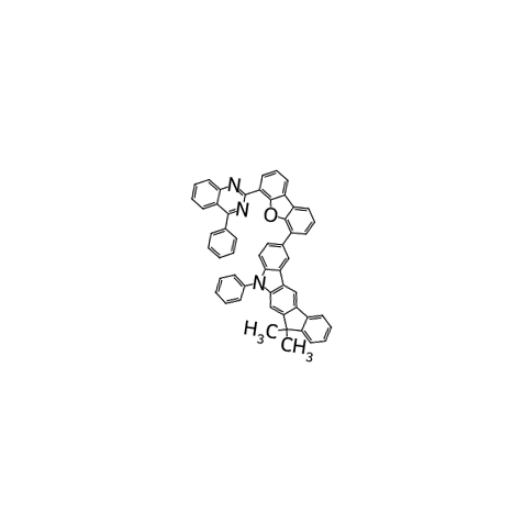 CC1(C)c2ccccc2-c2cc3c4cc(-c5cccc6c5oc5c(-c7nc(-c8ccccc8)c8ccccc8n7)cccc56)ccc4n(-c4ccccc4)c3cc21